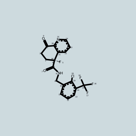 O=C1CC[C@](F)(C(=O)NCc2cccc(C(F)(F)F)c2Cl)c2cccnc21